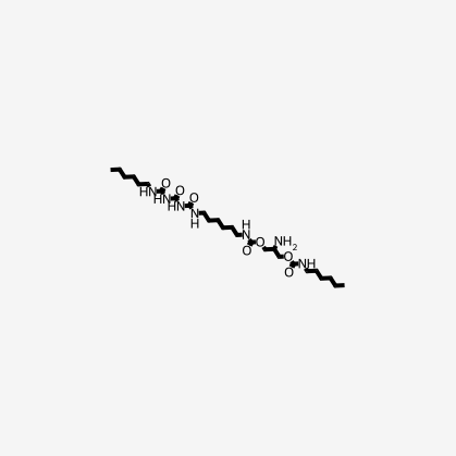 CCCCCCNC(=O)NC(=O)NC(=O)NCCCCCCNC(=O)OCC(N)COC(=O)NCCCCCC